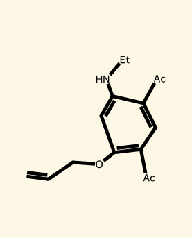 C=CCOc1cc(NCC)c(C(C)=O)cc1C(C)=O